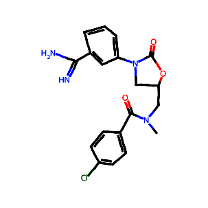 CN(CC1CN(c2cccc(C(=N)N)c2)C(=O)O1)C(=O)c1ccc(Cl)cc1